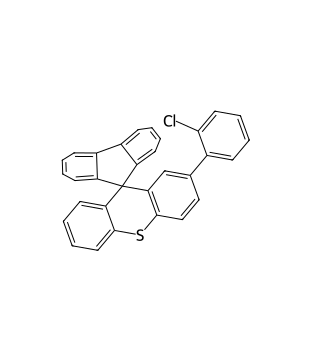 Clc1ccccc1-c1ccc2c(c1)C1(c3ccccc3S2)c2ccccc2-c2ccccc21